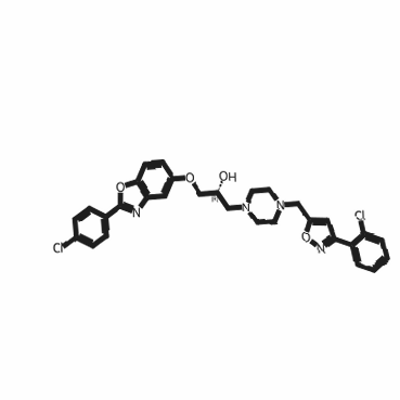 O[C@@H](COc1ccc2oc(-c3ccc(Cl)cc3)nc2c1)CN1CCN(Cc2cc(-c3ccccc3Cl)no2)CC1